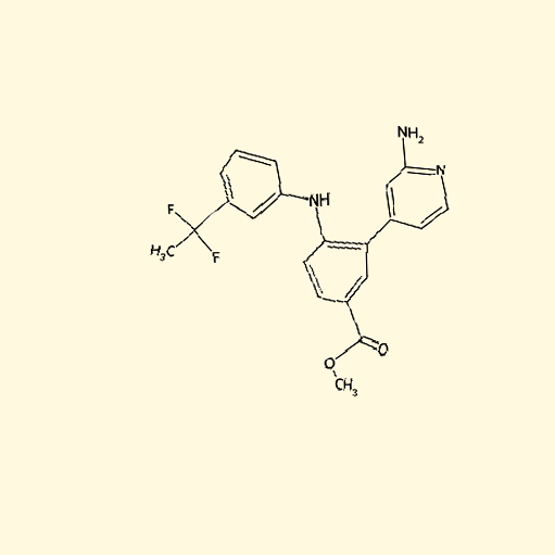 COC(=O)c1ccc(Nc2cccc(C(C)(F)F)c2)c(-c2ccnc(N)c2)c1